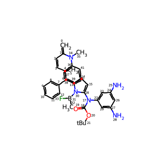 C=C(/C=C\C(C)=C(/c1ccccc1)c1ccc(N(C(=O)OC(C)(C)C)c2cc(N)cc(N)c2)n1B(C)F)N(C)c1ccccc1